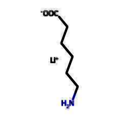 NCCCCCC(=O)[O-].[Li+]